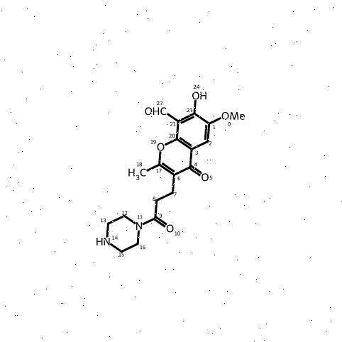 COc1cc2c(=O)c(CCC(=O)N3CCNCC3)c(C)oc2c(C=O)c1O